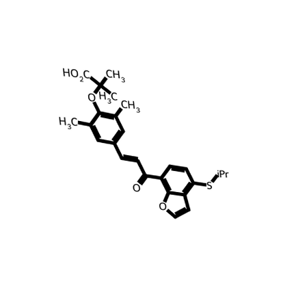 Cc1cc(/C=C/C(=O)c2ccc(SC(C)C)c3ccoc23)cc(C)c1OC(C)(C)C(=O)O